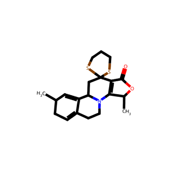 CC1C=C2C(=CC1)CCN1C3=C(C(=O)OC3C)C3(CC21)SCCCS3